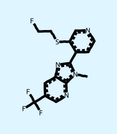 Cn1c(-c2ccncc2SCCF)nc2cc(C(F)(F)F)cnc21